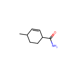 CC1C=CC(C(N)=O)CC1